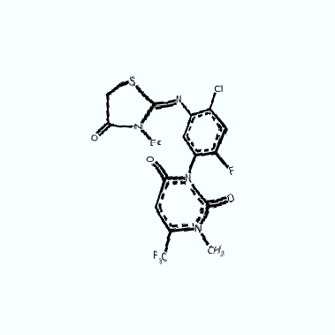 CCN1C(=O)CSC1=Nc1cc(-n2c(=O)cc(C(F)(F)F)n(C)c2=O)c(F)cc1Cl